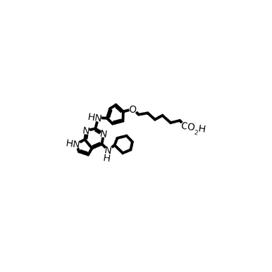 O=C(O)CCCCCCOc1ccc(Nc2nc(NC3CCCCC3)c3cc[nH]c3n2)cc1